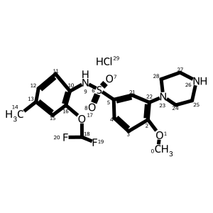 COc1ccc(S(=O)(=O)Nc2ccc(C)cc2OC(F)F)cc1N1CCNCC1.Cl